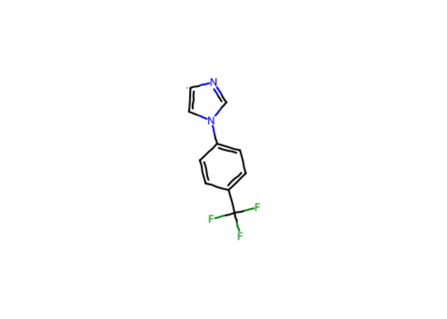 FC(F)(F)c1ccc(-n2c[c]nc2)cc1